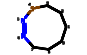 C1CCCSN=NCC1